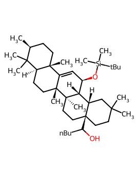 CCCCC(O)[C@]12CCC(C)(C)C[C@H]1[C@H]1[C@H](O[Si](C)(C)C(C)(C)C)C=C3[C@@]4(C)CC[C@H](C)C(C)(C)[C@@H]4CC[C@@]3(C)[C@]1(C)CC2